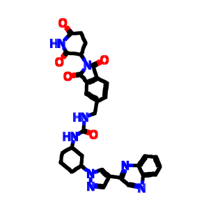 O=C1CCC(N2C(=O)c3ccc(CNC(=O)NC4CCCC(n5cc(-c6cnc7ccccc7n6)cn5)C4)cc3C2=O)C(=O)N1